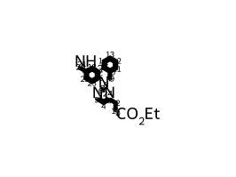 CCOC(=O)CCc1ccnc(N(Cc2ccccc2)c2ccc(CN)cc2)n1